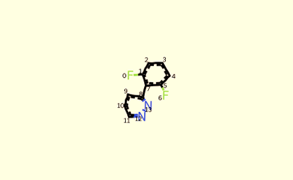 Fc1cccc(F)c1-c1cccnn1